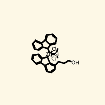 C[Si](C)=[Zr]([Cl])([Cl])([CH]1c2ccccc2-c2ccccc21)[CH]1c2ccccc2-c2cccc(CCCO)c21